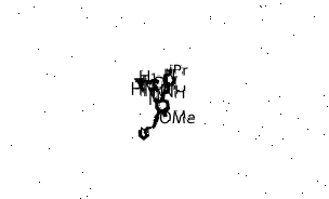 COC1=CCc2c(nc(N3C[C@@H]4C[C@@H]4[C@@H]3[C@@H](C)O)nc2NC2CCN(C(C)C)CC2)C=C1C#CCCN1CCCC1